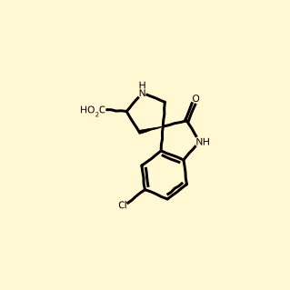 O=C(O)C1C[C@@]2(CN1)C(=O)Nc1ccc(Cl)cc12